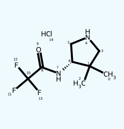 CC1(C)CNC[C@H]1NC(=O)C(F)(F)F.Cl